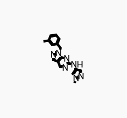 Cc1cccc(Cn2ncc3cnc(Nc4cnn(C)c4)nc32)c1